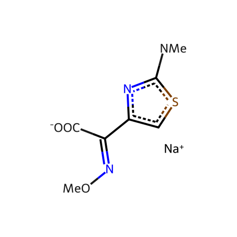 CNc1nc(/C(=N/OC)C(=O)[O-])cs1.[Na+]